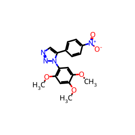 COc1cc(OC)c(-n2nncc2-c2ccc([N+](=O)[O-])cc2)cc1OC